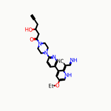 C#CCC(O)CC(=O)N1CCN(c2ccc(C3=CC(OCC)=CN/C3=C(/C#N)C=N)cn2)CC1